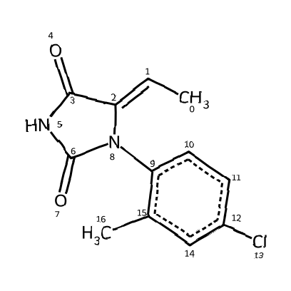 C/C=C1/C(=O)NC(=O)N1c1ccc(Cl)cc1C